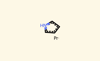 [Pr].c1cc[nH]c1